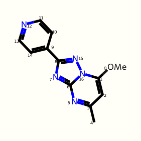 COc1cc(C)nc2nc(-c3ccncc3)nn12